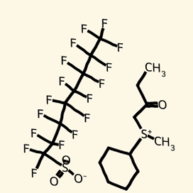 CCC(=O)C[S+](C)C1CCCCC1.O=S(=O)([O-])C(F)(F)C(F)(F)C(F)(F)C(F)(F)C(F)(F)C(F)(F)C(F)(F)C(F)(F)F